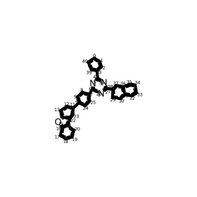 c1ccc(-c2nc(-c3ccc(-c4ccc5oc6ccccc6c5c4)cc3)nc(-c3ccc4ccccc4c3)n2)cc1